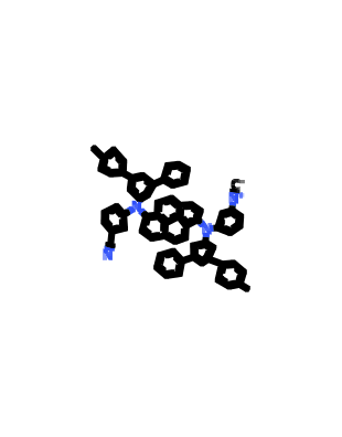 [C-]#[N+]c1cccc(N(c2cc(-c3ccccc3)cc(-c3ccc(C)cc3)c2)c2ccc3ccc4c(N(c5cccc(C#N)c5)c5cc(-c6ccccc6)cc(-c6ccc(C)cc6)c5)ccc5ccc2c3c54)c1